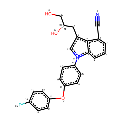 N#Cc1cccc2c1c(C[C@H](O)CO)cn2-c1ccc(Oc2ccc(F)cc2)cc1